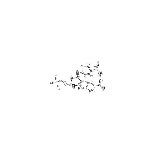 O=C(O)c1ccc(Nc2nc(Nc3ccc(C(=O)O)cc3)nc(OCC(F)(F)F)n2)cc1